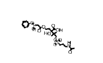 CC(=O)NCCCS(=O)(=O)OCC(C)(C)[C@](O)(CCOC(=O)C[PH](=O)Oc1ccccc1)C(=O)O